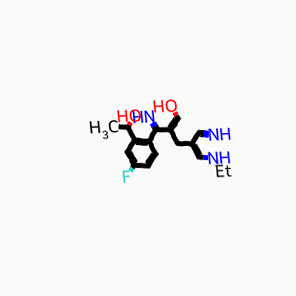 CCN/C=C(\C=N)C/C(=C/O)C(=N)c1ccc(F)cc1C(C)O